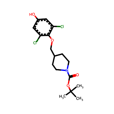 CC(C)(C)OC(=O)N1CCC(COc2c(Cl)cc(O)cc2Cl)CC1